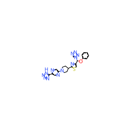 c1ccc(OC(c2csc(C3CCN(c4cnc(-c5nnn[nH]5)cn4)CC3)n2)n2cnnn2)cc1